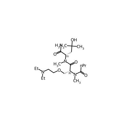 CCCC(=O)N(C)[C@H](COCCN(CC)CC)C(=O)N(C)[C@@H](CC(C)(C)O)C(N)=O